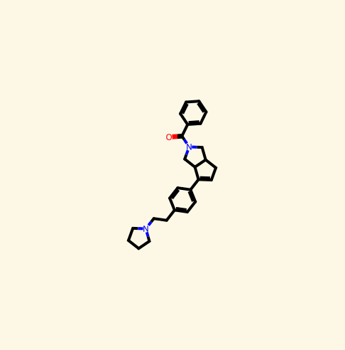 O=C(c1ccccc1)N1CC2CC=C(c3ccc(CCN4CCCC4)cc3)C2C1